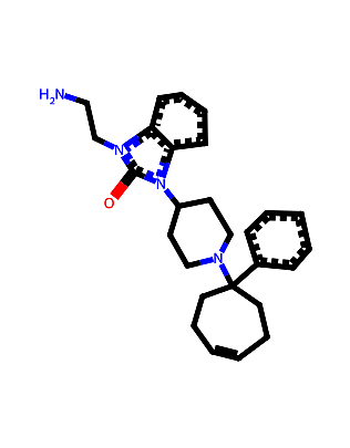 NCCn1c(=O)n(C2CCN(C3(c4ccccc4)CCC=CCC3)CC2)c2ccccc21